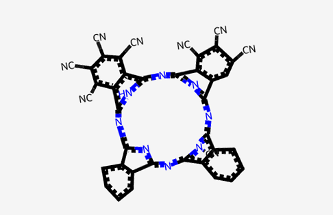 N#Cc1cc2c(c(C#N)c1C#N)-c1nc-2nc2c3ccccc3c(nc3nc(nc4[nH]c(n1)c1c(C#N)c(C#N)c(C#N)c(C#N)c41)-c1ccccc1-3)n2C#N